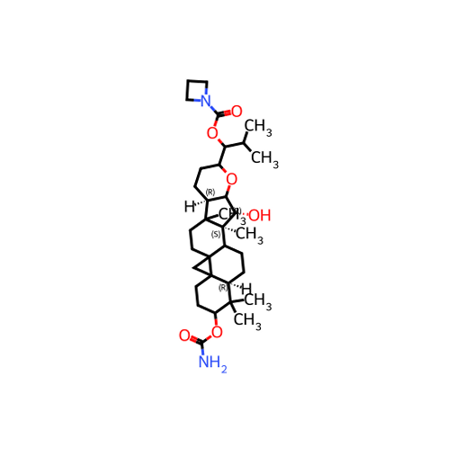 CC(C)C(OC(=O)N1CCC1)C1CC[C@H]2C(O1)[C@H](O)[C@@]1(C)C3CC[C@H]4C(C)(C)C(OC(N)=O)CCC45CC35CCC21C